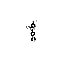 CC(C)Oc1ccc2nc(C3CCC(N4CCOCC4)CC3)nc(N)c2c1